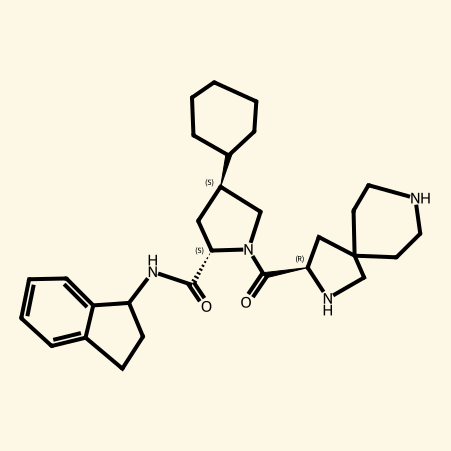 O=C(NC1CCc2ccccc21)[C@@H]1C[C@@H](C2CCCCC2)CN1C(=O)[C@H]1CC2(CCNCC2)CN1